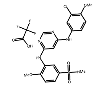 CNS(=O)(=O)c1ccc(OC)c(Nc2cc(Nc3ccc(OC)c(Cl)c3)ncn2)c1.O=C(O)C(F)(F)F